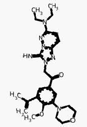 C=C(C)c1cc(C(=O)Cn2nc3ccc(N(CC)CC)nn3c2=N)cc(N2CCOCC2)c1OC